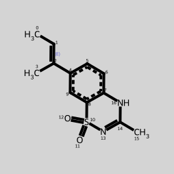 C/C=C(\C)c1ccc2c(c1)S(=O)(=O)N=C(C)N2